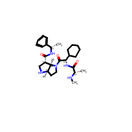 CN[C@@H](C)C(=O)N[C@H](C(=O)N1CC[C@H]2NC[C@H](C(=O)N[C@@H](C)c3ccccc3)[C@H]21)C1CCCCC1